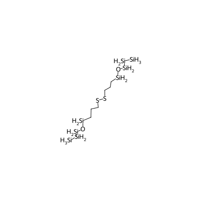 [SiH3][SiH2][SiH2]O[SiH2]CCCSSCCC[SiH2]O[SiH2][SiH2][SiH3]